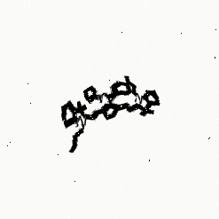 CCCCN1C(=CC=C2CCC(C=CC3N(CCCC)c4ccccc4C3(C)C)=C2N(c2ccccc2)c2ccccc2)C(C)(C)c2ccccc21